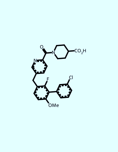 COc1ccc(Cc2ccc(C(=O)N3CCC(C(=O)O)CC3)nc2)c(F)c1-c1cccc(Cl)c1